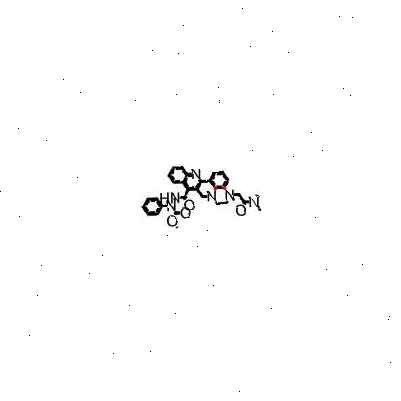 COC(=O)N(NC(=O)c1c(CN2CCN(CC(=O)N(C)C)CC2)c(-c2ccccc2)nc2ccccc12)c1ccccc1